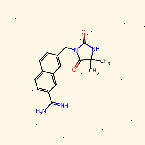 CC1(C)NC(=O)N(Cc2ccc3ccc(C(=N)N)cc3c2)C1=O